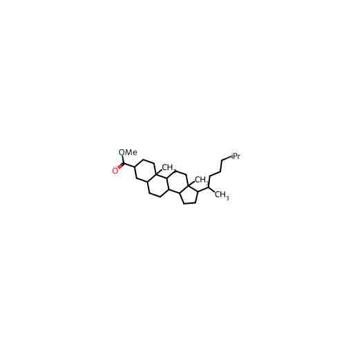 COC(=O)C1CCC2(C)C(CCC3C2CCC2(C)C(C(C)CCCC(C)C)CCC32)C1